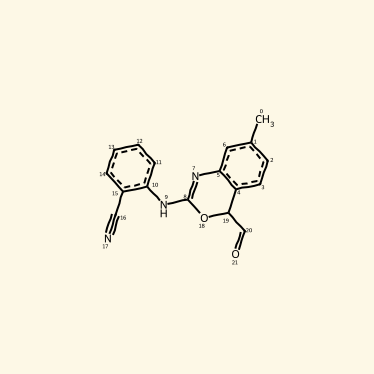 Cc1ccc2c(c1)N=C(Nc1ccccc1C#N)OC2C=O